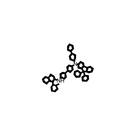 CC1C=CC=CC1c1c(Nc2ccc(-c3ccc(N(c4ccc(-c5ccccc5)cc4)c4ccc5c(c4)C(c4ccccc4)(c4ccccc4)c4ccccc4-5)cc3)cc2)ccc2ccccc12